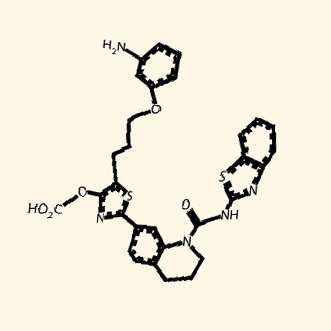 Nc1cccc(OCCCc2sc(-c3ccc4c(c3)N(C(=O)Nc3nc5ccccc5s3)CCC4)nc2OC(=O)O)c1